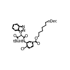 CCCCCCCCCCCCCCCCOC(=O)c1ccc(Cl)c(NC(=O)C(C(=O)C(C)(C)C)n2nnc3ccccc32)c1